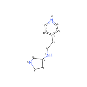 c1cc(CCNC2CC[N]C2)ccn1